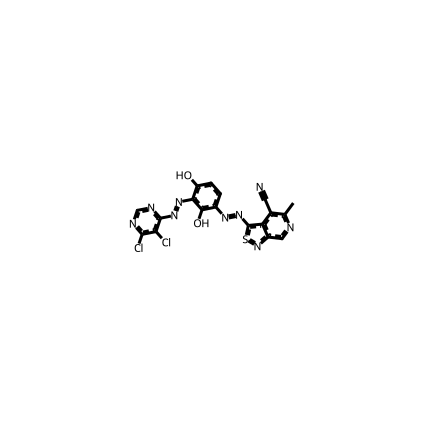 Cc1ncc2nsc(/N=N/c3ccc(O)c(/N=N/c4ncnc(Cl)c4Cl)c3O)c2c1C#N